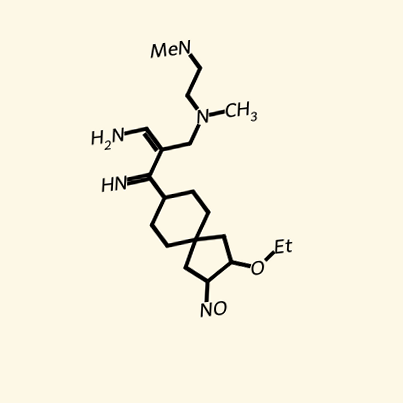 CCOC1CC2(CCC(C(=N)/C(=C\N)CN(C)CCNC)CC2)CC1N=O